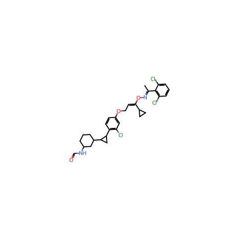 C/C(=N\O/C(=C/COc1ccc(C2CC2C2CCCC(NC=O)C2)c(Cl)c1)C1CC1)c1c(Cl)cccc1Cl